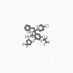 O=C(N[C@@H]1CCC(F)(F)C1)NC(Cc1ccccc1)(c1cc(F)cc(OC(F)(F)C(F)F)c1)c1ccc(Cl)cn1